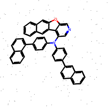 c1ccc2cc(-c3ccc(N(c4ccc(-c5cccc6ccccc56)cc4)c4cncc5oc6cc7ccccc7cc6c45)cc3)ccc2c1